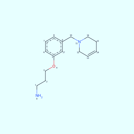 NCCCOc1cccc(CN2CC=CCC2)c1